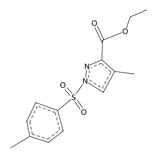 CCOC(=O)c1nn(S(=O)(=O)c2ccc(C)cc2)cc1C